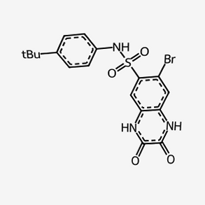 CC(C)(C)c1ccc(NS(=O)(=O)c2cc3[nH]c(=O)c(=O)[nH]c3cc2Br)cc1